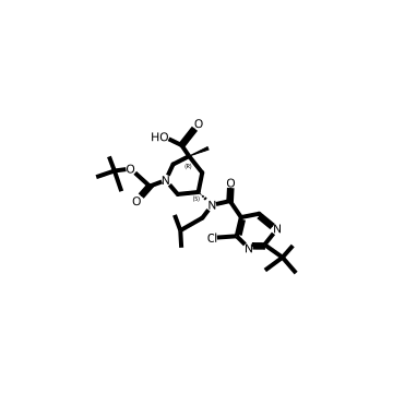 CC(C)CN(C(=O)c1cnc(C(C)(C)C)nc1Cl)[C@@H]1CN(C(=O)OC(C)(C)C)C[C@](C)(C(=O)O)C1